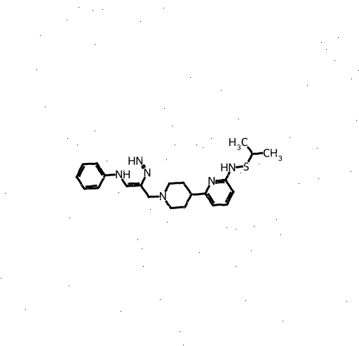 CC(C)SNc1cccc(C2CCN(C/C(=C/Nc3ccccc3)N=N)CC2)n1